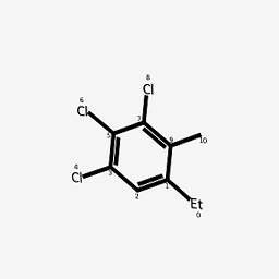 CCc1cc(Cl)c(Cl)c(Cl)c1C